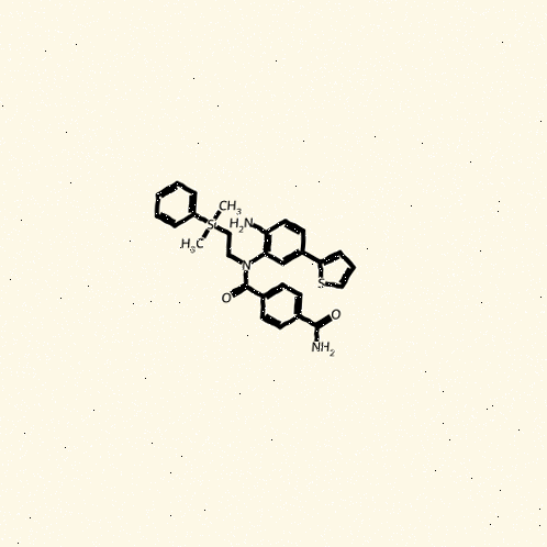 C[Si](C)(CCN(C(=O)c1ccc(C(N)=O)cc1)c1cc(-c2cccs2)ccc1N)c1ccccc1